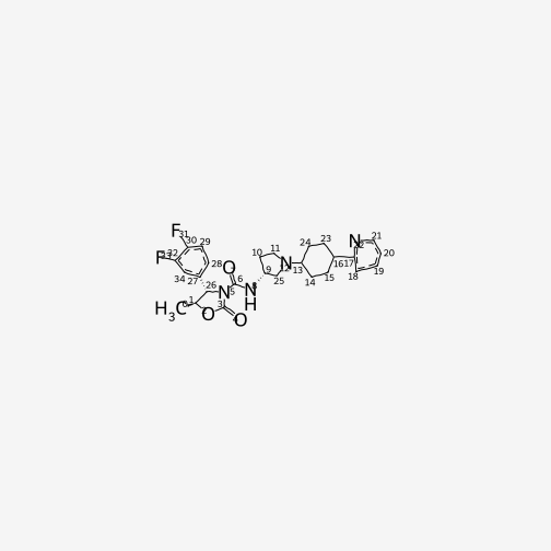 C[C@@H]1OC(=O)N(C(=O)N[C@@H]2CCN(C3CCC(c4ccccn4)CC3)C2)[C@H]1c1ccc(F)c(F)c1